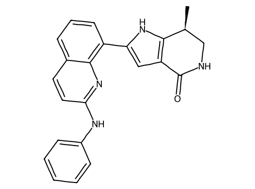 C[C@H]1CNC(=O)c2cc(-c3cccc4ccc(Nc5ccccc5)nc34)[nH]c21